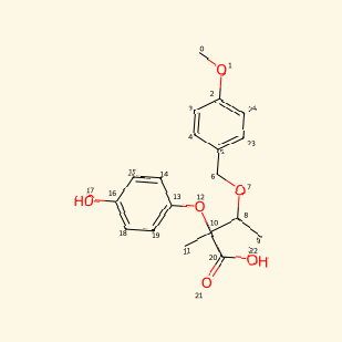 COc1ccc(COC(C)C(C)(Oc2ccc(O)cc2)C(=O)O)cc1